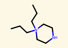 CCC[N+]1(CCC)CCNCC1